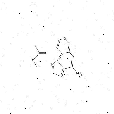 COC(C)=O.Nc1cc2coccc2c2nccc12